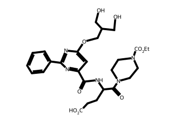 CCOC(=O)N1CCN(C(=O)C(CCC(=O)O)NC(=O)c2cc(OCC(CO)CO)nc(-c3ccccc3)n2)CC1